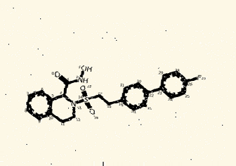 O=C(NO)C1c2ccccc2CCN1S(=O)(=O)CCc1ccc(-c2ccc(F)cc2)cc1